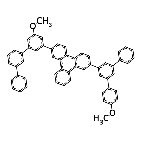 COc1ccc(-c2cc(-c3ccccc3)cc(-c3ccc4c5ccc(-c6cc(OC)cc(-c7cccc(-c8ccccc8)c7)c6)cc5c5ccccc5c4c3)c2)cc1